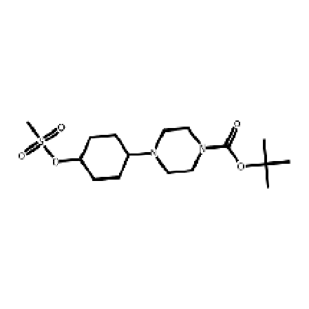 CC(C)(C)OC(=O)N1CCN(C2CCC(OS(C)(=O)=O)CC2)CC1